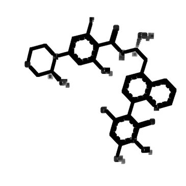 Cc1cc(N2CCOC[C@@H]2C(F)(F)F)cc(F)c1C(=O)N[C@@H](Cc1ccc(-c2c(Cl)cc(C)n(C)c2=O)c2ncccc12)C(=O)O